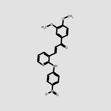 COc1ccc(C(=O)C=Cc2cccnc2Nc2ccc([N+](=O)[O-])cc2)cc1OC